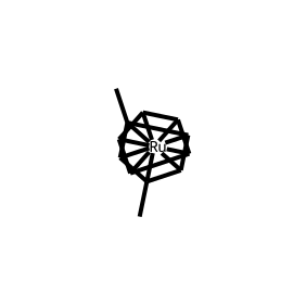 C[C]12[CH]3[CH]4[C]5(C)[CH]1[Ru]34251678[CH]2[CH]1[CH]6[CH]7[CH]28